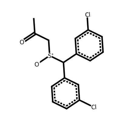 CC(=O)C[S+]([O-])C(c1cccc(Cl)c1)c1cccc(Cl)c1